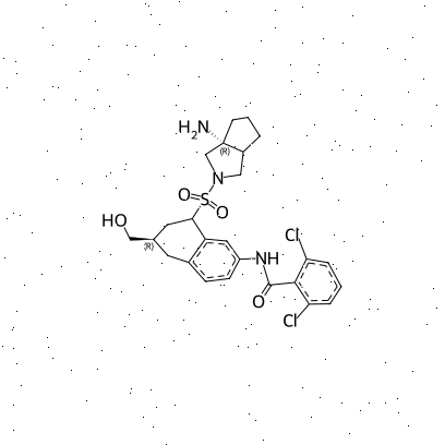 N[C@]12CCCC1CN(S(=O)(=O)C1C[C@H](CO)Cc3ccc(NC(=O)c4c(Cl)cccc4Cl)cc31)C2